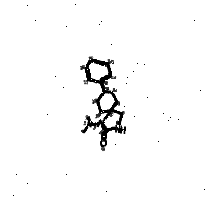 CN(C)N1C(=O)NCC12CCC(c1ccccc1)CC2